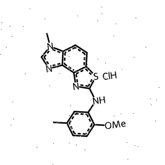 COc1ccc(C)cc1Nc1nc2c(ccc3c2ncn3C)s1.Cl